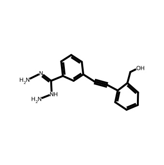 N/N=C(\NN)c1cccc(C#Cc2ccccc2CO)c1